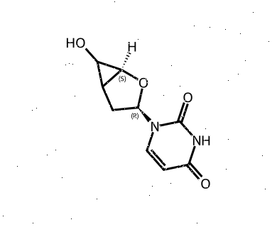 O=c1ccn([C@H]2CC3C(O)[C@H]3O2)c(=O)[nH]1